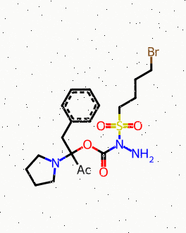 CC(=O)C(Cc1ccccc1)(OC(=O)N(N)S(=O)(=O)CCCCBr)N1CCCC1